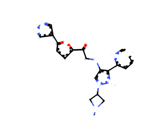 CN1CC(n2cc(NCC(=O)c3ccc(-c4cn[nH]c4)o3)c(-c3ccccn3)n2)C1